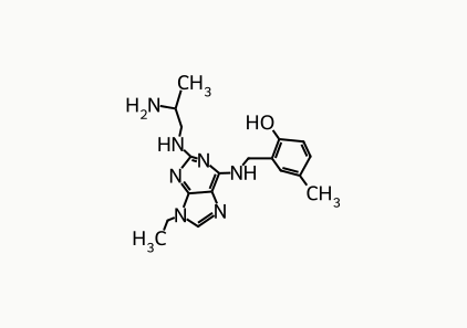 CCn1cnc2c(NCc3cc(C)ccc3O)nc(NCC(C)N)nc21